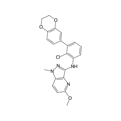 COc1ccc2c(n1)c(Nc1cccc(-c3ccc4c(c3)OCCO4)c1Cl)nn2C